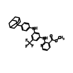 COC(=O)c1cccnc1Nc1cc(Nc2ccc(C34CC5CC(CC(C5)C3)C4)cc2)cc(C(F)(F)F)c1